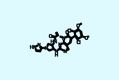 C=CC(=O)NC1CN(c2cc[nH]n2)CC1Nc1ncc2cc(-c3c(Cl)c(OC)cc(OC)c3Cl)c(=O)n(C)c2n1